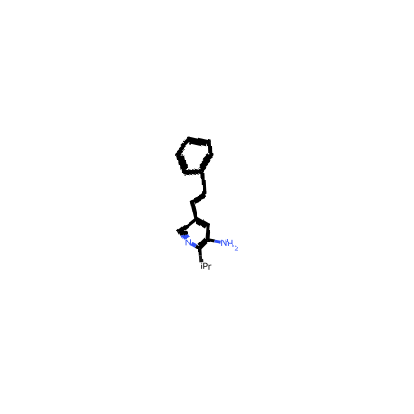 CC(C)c1ncc(/C=C/c2ccccc2)cc1N